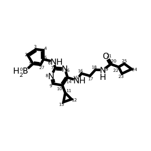 Bc1cccc(Nc2ncc(C3CC3)c(NCCCNC(=O)C3CCC3)n2)c1